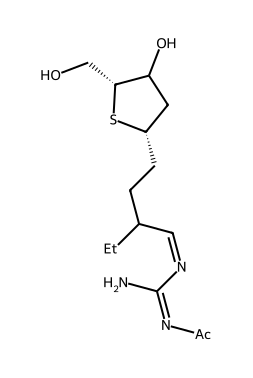 CCC(/C=N\C(N)=N/C(C)=O)CC[C@H]1CC(O)[C@@H](CO)S1